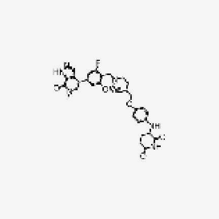 COc1cc(-c2cn(C)c(=O)c3[nH]ncc23)cc(F)c1CN1CCC(COc2ccc(NC3CCC(=O)NC3=O)cc2)CC1